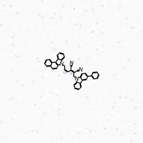 N#CC(/C=C\Cn1c2ccccc2c2c3ccccc3ccc21)=C(\C#N)Cn1c2ccccc2c2cc(-c3ccccc3)ccc21